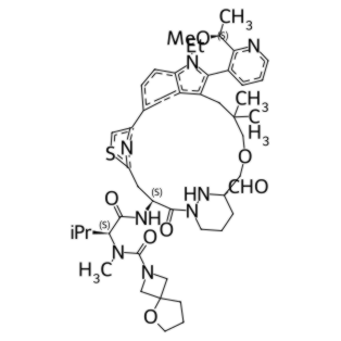 CCn1c(-c2cccnc2[C@H](C)OC)c2c3cc(ccc31)-c1csc(n1)C[C@H](NC(=O)[C@H](C(C)C)N(C)C(=O)N1CC3(CCCO3)C1)C(=O)N1CCCC(C=O)(COCC(C)(C)C2)N1